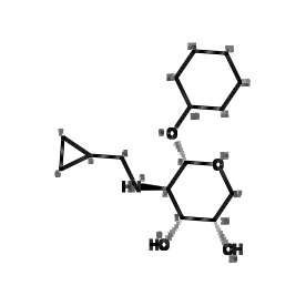 O[C@@H]1[C@@H](NCC2CC2)[C@H](OC2CCCCC2)OC[C@@H]1O